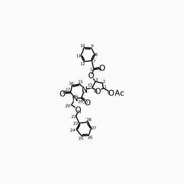 CC(=O)OC1C[C@H](OC(=O)c2ccccc2)[C@H](n2ccc(=O)n(COCc3ccccc3)c2=O)O1